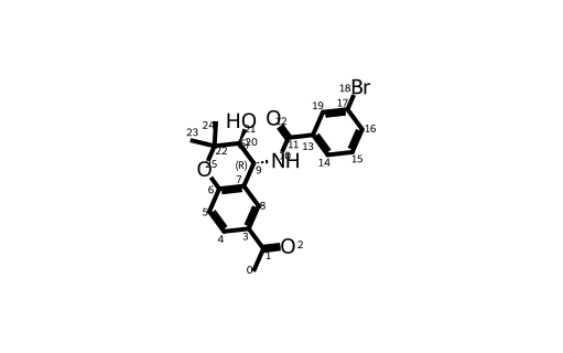 CC(=O)c1ccc2c(c1)[C@@H](NC(=O)c1cccc(Br)c1)[C@H](O)C(C)(C)O2